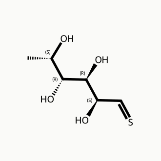 C[C@H](O)[C@@H](O)[C@@H](O)[C@H](O)C=S